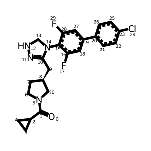 O=C(C1CC1)N1CC[C@@H](CC2=NNCN2c2c(F)cc(-c3ccc(Cl)cc3)cc2F)C1